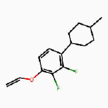 C=COc1ccc(C2CCC(C)CC2)c(F)c1F